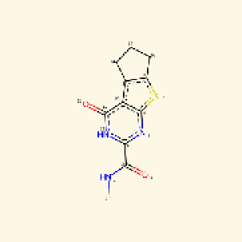 CNC(=O)c1nc2sc3c(c2c(=O)[nH]1)CCC3